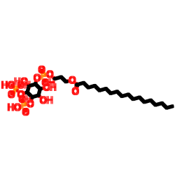 CCCCCCCCCCCCCCCCCC(=O)OCCCOP(=O)(O)OC1C(O)C(O)C(OP(=O)(O)O)C(OP(=O)(O)O)C1O